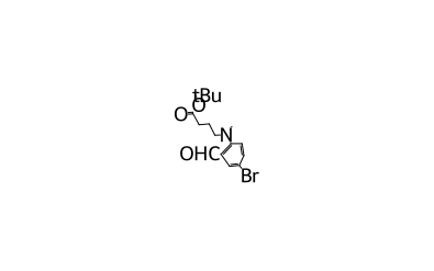 CN(CCCC(=O)OC(C)(C)C)c1ccc(Br)cc1C=O